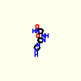 O=C1CCC(Nc2ccc(N3CCNCC3)cn2)C(=O)N1